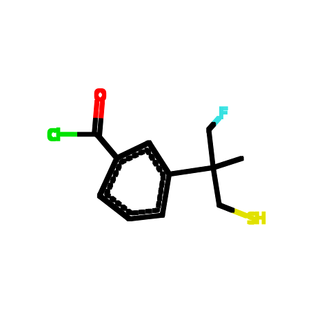 CC(CF)(CS)c1cccc(C(=O)Cl)c1